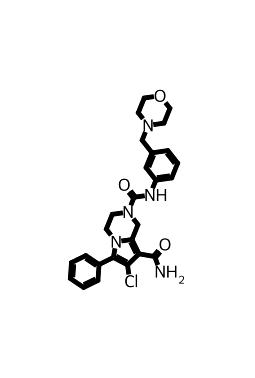 NC(=O)c1c(Cl)c(-c2ccccc2)n2c1CN(C(=O)Nc1cccc(CN3CCOCC3)c1)CC2